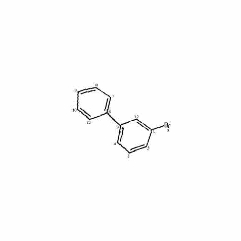 Brc1[c]ccc(-c2ccccc2)c1